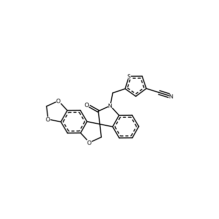 N#Cc1csc(CN2C(=O)C3(COc4cc5c(cc43)OCO5)c3ccccc32)c1